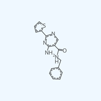 Nc1nc(-c2cccs2)ncc1C(=O)NCc1ccccc1